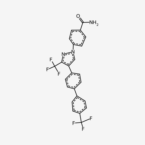 NC(=O)c1ccc(-n2cc(-c3ccc(-c4ccc(C(F)(F)F)cc4)cc3)c(C(F)(F)F)n2)cc1